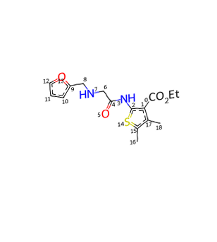 CCOC(=O)c1c(NC(=O)CNCc2ccco2)sc(C)c1C